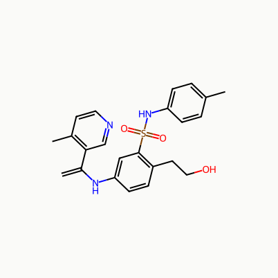 C=C(Nc1ccc(CCO)c(S(=O)(=O)Nc2ccc(C)cc2)c1)c1cnccc1C